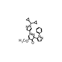 COc1cn(-c2cnn(C(C3CC3)C3CC3)c2)nc(-c2ccnn2-c2ccccc2)c1=O